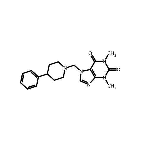 Cn1c(=O)c2c(ncn2CN2CCC(c3ccccc3)CC2)n(C)c1=O